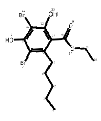 CCCCCc1c(Br)c(O)c(Br)c(O)c1C(=O)OCC